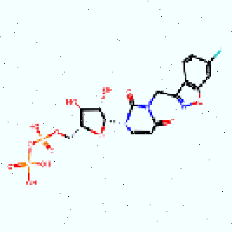 O=c1ccn([C@@H]2O[C@H](COP(=O)(O)OP(=O)(O)O)[C@H](O)[C@@H]2O)c(=O)n1Cc1noc2cc(F)ccc12